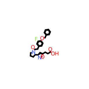 O=C(O)CCc1cc(C2CCCN2C(=O)Cc2ccc(OCc3ccccc3)c(F)c2)no1